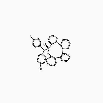 Cc1ccc(C(c2ccc(O)cc2)P2(=O)Oc3ccccc3-c3ccccc3-c3ccccc3-c3ccccc32)cc1